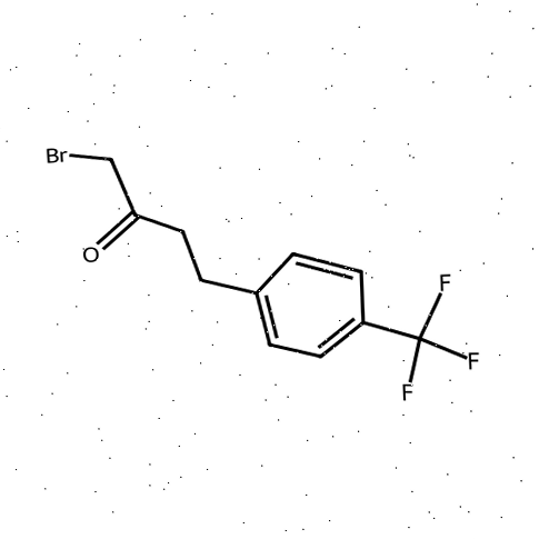 O=C(CBr)CCc1ccc(C(F)(F)F)cc1